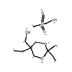 CCC1(CO)COC(C)(C)OC1.CS(=O)(=O)O